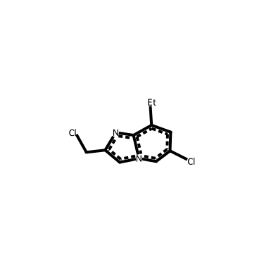 CCc1cc(Cl)cn2cc(CCl)nc12